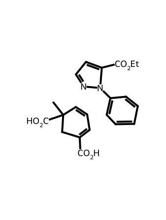 CC1(C(=O)O)C=CC=C(C(=O)O)C1.CCOC(=O)c1ccnn1-c1ccccc1